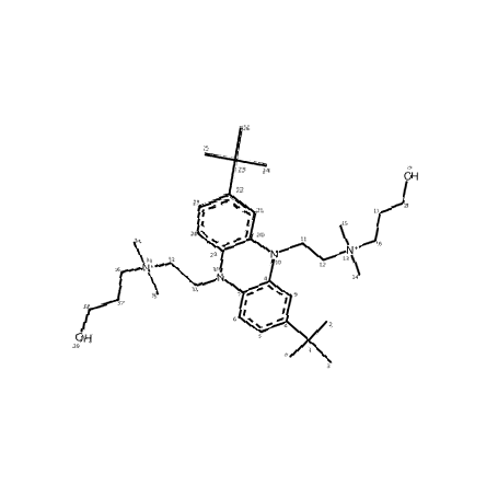 CC(C)(C)c1ccc2c(c1)N(CC[N+](C)(C)CCCO)c1cc(C(C)(C)C)ccc1N2CC[N+](C)(C)CCCO